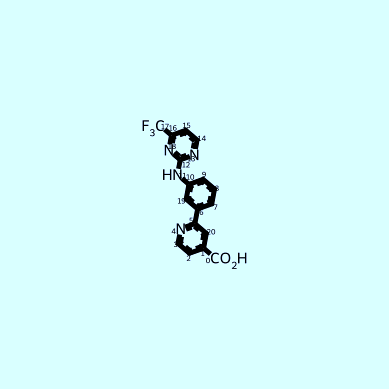 O=C(O)c1ccnc(-c2cccc(Nc3nccc(C(F)(F)F)n3)c2)c1